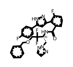 O=C(N[C@H](Cn1nccn1)C(F)(F)COCc1ccccc1)c1cccc(F)c1-c1cc(-c2ccc(F)cc2)[nH]n1